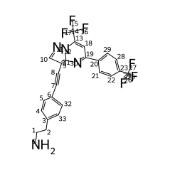 NCCc1ccc(C#Cc2cnn3c(C(F)(F)F)cc(-c4ccc(C(F)(F)F)cc4)nc23)cc1